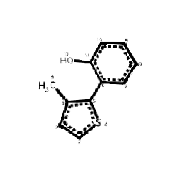 Cc1ccsc1-c1ccccc1O